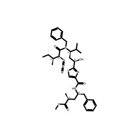 CC[C@H](C)[C@H](N=[N+]=[N-])C(=O)N(Cc1ccccc1)[C@H](C[C@@H](O)c1nc(C(=O)N[C@@H](Cc2ccccc2)C[C@H](C)C(=O)OC)cs1)C(C)C